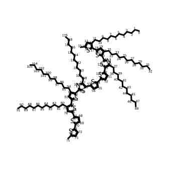 CCCCCCCCCCCCc1cc(C)sc1-c1cc(CCCCCCCCCCCC)c(-c2nc(CCCCCCCCCCCC)c(-c3ccc(-c4ccc(-c5sc(-c6sc(-c7sc(-c8ccc(-c9ccc(C)s9)s8)cc7CCCCCCCCCCCC)cc6CCCCCCCCCCCC)nc5CCCCCCCCCCCC)s4)s3)s2)s1